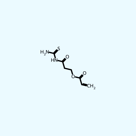 C=CC(=O)OCCC(=O)NC(N)=S